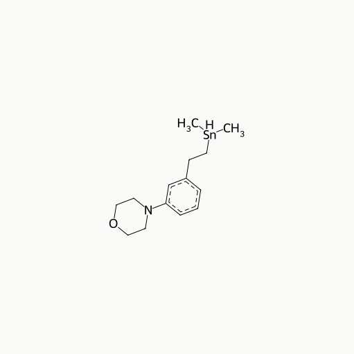 [CH3][SnH]([CH3])[CH2]Cc1cccc(N2CCOCC2)c1